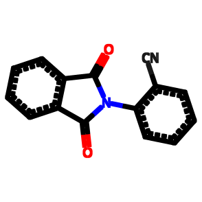 N#Cc1ccccc1N1C(=O)c2ccccc2C1=O